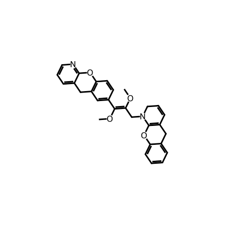 COC(CN1CC=CC2=C1Oc1ccccc1C2)=C(OC)c1ccc2c(c1)Cc1cccnc1O2